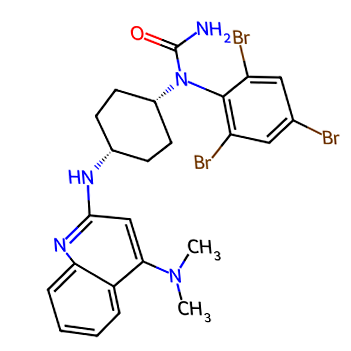 CN(C)c1cc(N[C@H]2CC[C@@H](N(C(N)=O)c3c(Br)cc(Br)cc3Br)CC2)nc2ccccc12